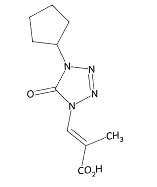 CC(=Cn1nnn(C2CCCC2)c1=O)C(=O)O